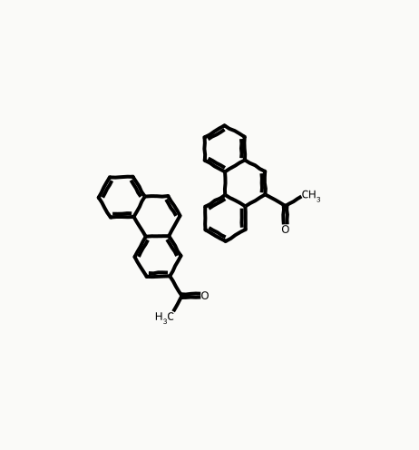 CC(=O)c1cc2ccccc2c2ccccc12.CC(=O)c1ccc2c(ccc3ccccc32)c1